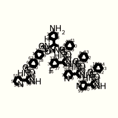 Nc1ccc(-c2c[nH]nc2NS(=O)(=O)c2ccccc2)cc1.O=S(=O)(Nc1n[nH]cc1-c1cccc(F)c1)c1ccccc1.O=S(=O)(Nc1n[nH]cc1-c1ccccn1)c1ccccc1.O=S(=O)(Nc1n[nH]cc1-c1cccnc1)c1ccccc1.O=S(=O)(Nc1n[nH]cc1-c1ccncc1)c1ccccc1